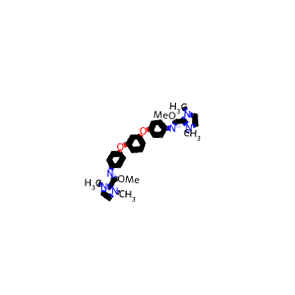 CO/C(=N\c1ccc(Oc2cccc(Oc3ccc(/N=C(\OC)c4n(C)cc[n+]4C)cc3)c2)cc1)c1n(C)cc[n+]1C